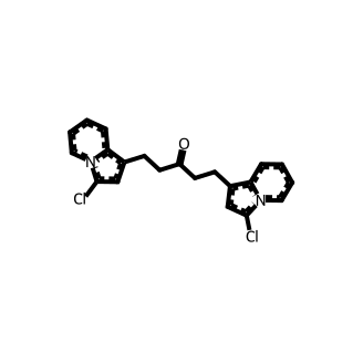 O=C(CCc1cc(Cl)n2ccccc12)CCc1cc(Cl)n2ccccc12